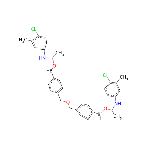 Cc1cc(NC(C)OBc2ccc(COCc3ccc(BOC(C)Nc4ccc(Cl)c(C)c4)cc3)cc2)ccc1Cl